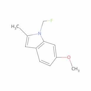 COc1ccc2cc(C)n(CF)c2c1